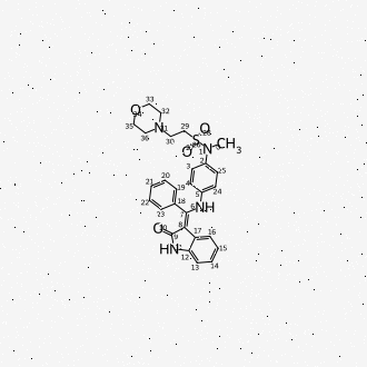 CN(c1ccc(NC(=C2C(=O)Nc3ccccc32)c2ccccc2)cc1)S(=O)(=O)CCN1CCOCC1